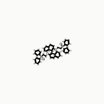 O=P(CCOc1ccc2ccccc2c1-c1c(OCCP(=O)(c2ccccc2)c2ccccc2)ccc2ccccc12)(c1ccccc1)c1ccccc1